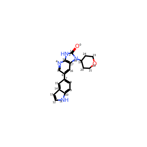 O=c1[nH]c2ncc(-c3ccc4[nH]ccc4c3)cc2n1C1CCOCC1